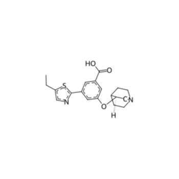 CCc1cnc(-c2cc(O[C@@H]3CN4CCC3CC4)cc(C(=O)O)c2)s1